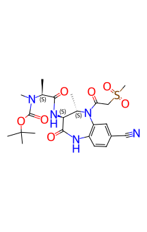 C[C@@H](C(=O)N[C@@H]1C(=O)Nc2ccc(C#N)cc2N(C(=O)CS(C)(=O)=O)[C@H]1C)N(C)C(=O)OC(C)(C)C